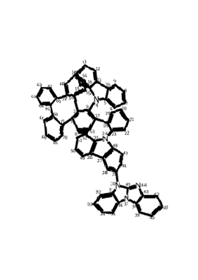 c1c2c(c(-n3c4ccccc4c4ccccc43)c(-c3ccccc3-n3c4c(c5cc(-n6c7ccccc7n7c8ccccc8nc67)ccc53)C=CCC4)c#1)-c1ccccc1-c1ccccc1-c1ccccc1-2